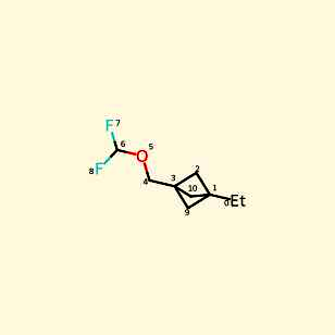 CCC12CC(COC(F)F)(C1)C2